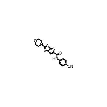 N#Cc1ccc(NC(=O)c2cc3sc(N4CCOCC4)nc3s2)cc1